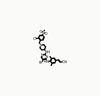 Cc1cc(C=CC#N)cc(C)c1Nc1nc(NC2CCN(Cc3ccc(S(C)(=O)=O)cc3Cl)CC2)ncc1Br